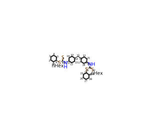 CCCCCCc1ccccc1SC(=S)Nc1ccc(Cc2ccc(NC(=S)Sc3ccccc3CCCCCC)cc2)cc1